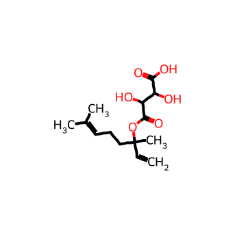 C=CC(C)(CCC=C(C)C)OC(=O)C(O)C(O)C(=O)O